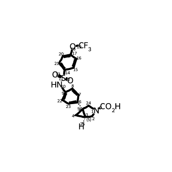 O=C(O)N1C[C@H]2C[C@@]2(c2ccc(NS(=O)(=O)c3ccc(OC(F)(F)F)cc3)cc2)C1